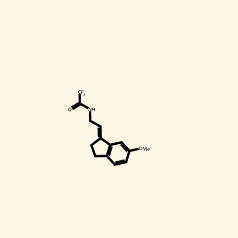 COc1ccc2c(c1)/C(=C/CNC(=O)C(F)(F)F)CC2